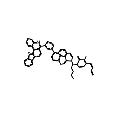 C=C/C=C\C1=C(C)C(=C)C(C(CCCC)C2C=Cc3ccc4c(-c5cccc(-c6nc7ccccc7c7c6ccc6c8ccccc8sc67)c5)ccc5c4c3C2=CC5)C=C1